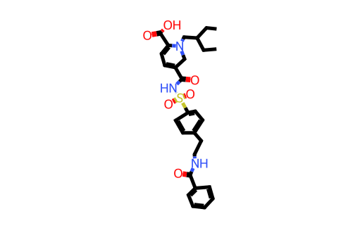 CCC(CC)CN1CC(C(=O)NS(=O)(=O)c2ccc(CCNC(=O)c3ccccc3)cc2)=CC=C1C(=O)O